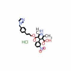 CC1=C(C(=O)O)C(c2cccc([N+](=O)[O-])c2)C(C(=O)OCC=Cc2ccc(Cn3ccnc3)cc2)=C(C)N1.Cl